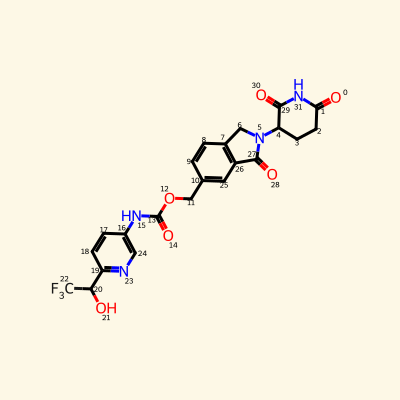 O=C1CCC(N2Cc3ccc(COC(=O)Nc4ccc(C(O)C(F)(F)F)nc4)cc3C2=O)C(=O)N1